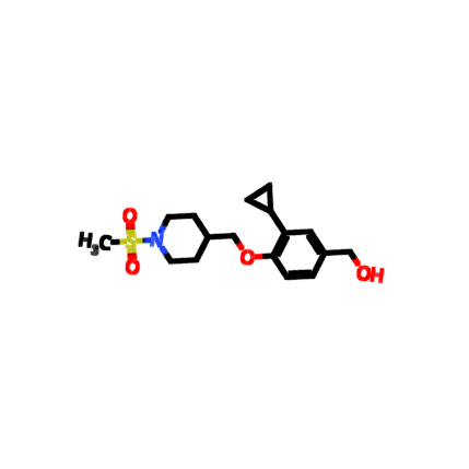 CS(=O)(=O)N1CCC(COc2ccc(CO)cc2C2CC2)CC1